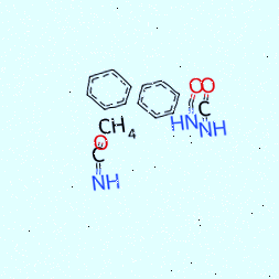 C.N=C=O.N=C=O.N=C=O.c1ccccc1.c1ccccc1